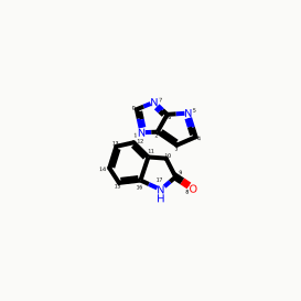 C1=NC2=CC=NC2=N1.O=C1Cc2ccccc2N1